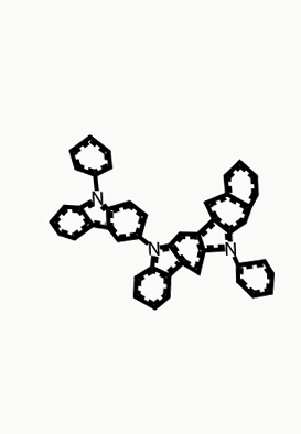 c1ccc(-n2c3ccccc3c3cc(-n4c5ccccc5c5cc6c(cc54)c4cc5ccccc5cc4n6-c4ccccc4)ccc32)cc1